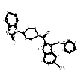 Cc1ccc2[nH]c(C(=O)N3CCC(n4c(=O)[nH]c5ccccc54)CC3)c(Cc3ccccc3)c2c1